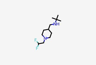 CC(C)(C)NCC1CCN(CC(F)F)CC1